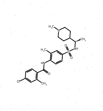 Cc1cc(S(=O)(=O)N[C@H](C)C2CCN(C)CC2)ccc1NC(=O)c1ccc(Cl)cc1C